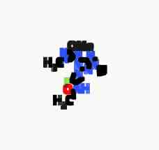 C=CC(=O)N[C@@H]1CN(c2nc(Nc3cn(C)nc3OC)c3ncn(C45CC(C4)C5)c3n2)C[C@H]1F